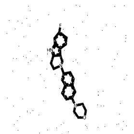 Fc1ccc2c3c([nH]c2c1)CCN(c1ccc2cc(N4CCOCC4)ccc2c1)C3